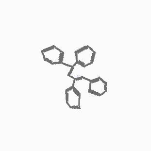 C(=C(c1ccccc1)c1ccccc1)/C(=C/c1ccccc1)c1ccccc1